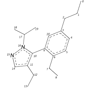 CCCc1ccc(CC)c(-c2c(CC)cnn2C(C)C)c1